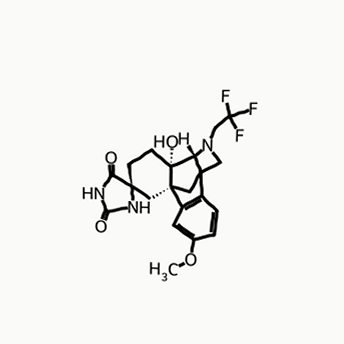 COc1ccc2c(c1)[C@]13CC24CN(CC(F)(F)F)[C@H]4[C@]1(O)CC[C@@]1(C3)NC(=O)NC1=O